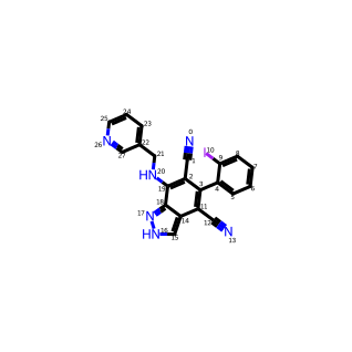 N#Cc1c(-c2ccccc2I)c(C#N)c2c[nH]nc2c1NCc1cccnc1